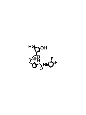 CC(Cc1cccc(CC(=O)NCc2ccc(F)c(F)c2)c1)NCC(O)c1cc(O)cc(O)c1